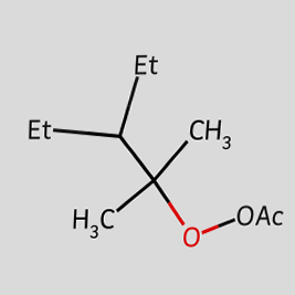 CCC(CC)C(C)(C)OOC(C)=O